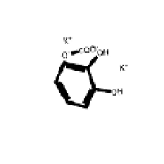 O=C([O-])[O-].Oc1ccccc1O.[K+].[K+]